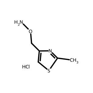 Cc1nc(CON)cs1.Cl